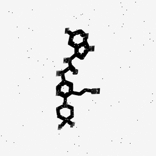 O=C(Nc1cnc(N2CCC(F)(F)CC2)c(CCO)c1)Nc1c[nH]c2ncc(F)cc12